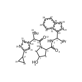 CC(C)C(NC(=O)C1CC(O)CN1C(=O)C(n1cc(C2CC2)nn1)C(C)(C)C)c1nnc2ccccn12